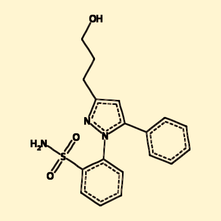 NS(=O)(=O)c1ccccc1-n1nc(CCCO)cc1-c1ccccc1